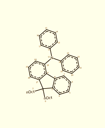 CCCCCCCCC1(CCCCCCCC)c2ccccc2-c2c(N(c3ccccc3)c3ccccc3)cccc21